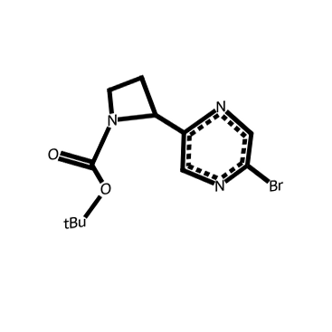 CC(C)(C)OC(=O)N1CCC1c1cnc(Br)cn1